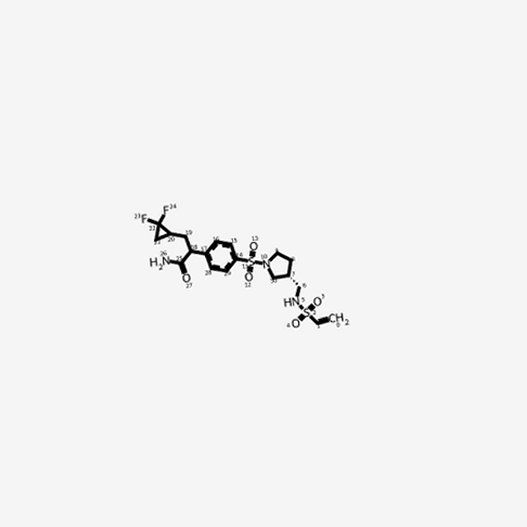 C=CS(=O)(=O)NC[C@H]1CCN(S(=O)(=O)c2ccc(C(CC3CC3(F)F)C(N)=O)cc2)C1